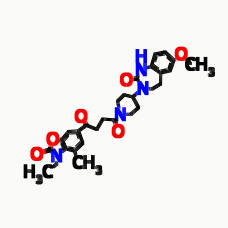 CCn1c(=O)oc2cc(C(=O)CCC(=O)N3CCC(N4CCc5cc(OC)ccc5NC4=O)CC3)cc(C)c21